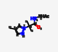 CC(=O)NNC(=O)C(C)(C)n1cc(C)cn1